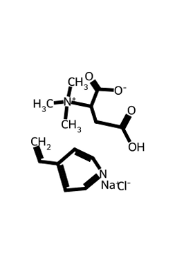 C=Cc1ccncc1.C[N+](C)(C)C(CC(=O)O)C(=O)[O-].[Cl-].[Na+]